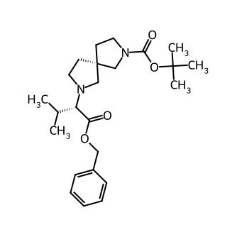 CC(C)[C@@H](C(=O)OCc1ccccc1)N1CC[C@@]2(CCN(C(=O)OC(C)(C)C)C2)C1